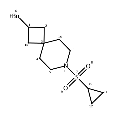 CC(C)(C)C1CC2(CCN(S(=O)(=O)C3CC3)CC2)C1